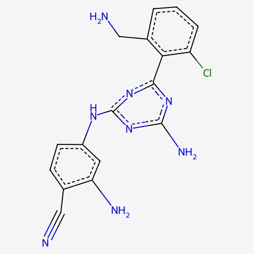 N#Cc1ccc(Nc2nc(N)nc(-c3c(Cl)cccc3CN)n2)cc1N